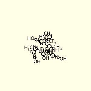 Cc1nnc(NCc2cc(O)c(Cc3nnc(N[C@H](C)c4cc(F)c(Cc5nnc(N[C@H](C)c6cccc(C(F)(F)F)c6)c6cc(N7CC(O)C7)cnc56)c(C(F)(F)F)c4)c4cc(N5CC(O)C5)cnc34)c(C(F)(F)F)c2)c2cc(N3CC(O)C3)cnc12